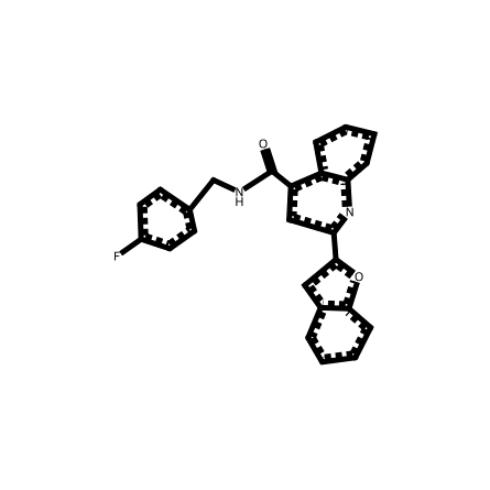 O=C(NCc1ccc(F)cc1)c1cc(-c2cc3ccccc3o2)nc2ccccc12